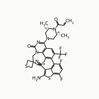 C=CC(=O)N1[C@H](C)CN(c2nc(=O)n3c4c(c(-c5c(F)cc(F)c6sc(N)c(C#N)c56)c(C(F)(F)F)cc24)SCC2(CSC2)C3)C[C@@H]1C